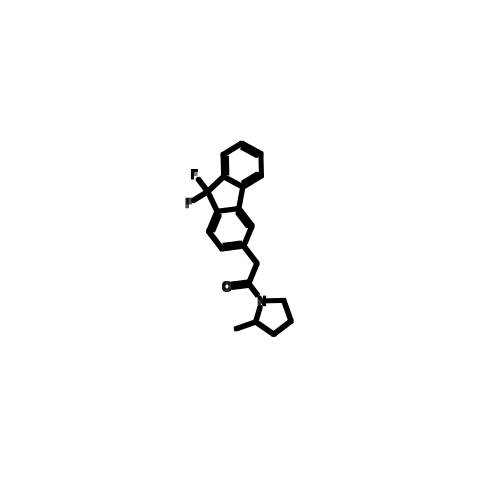 CC1CCCN1C(=O)Cc1ccc2c(c1)-c1ccccc1C2(F)F